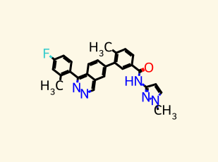 Cc1ccc(C(=O)Nc2ccn(C)n2)cc1-c1ccc2c(-c3ccc(F)cc3C)nncc2c1